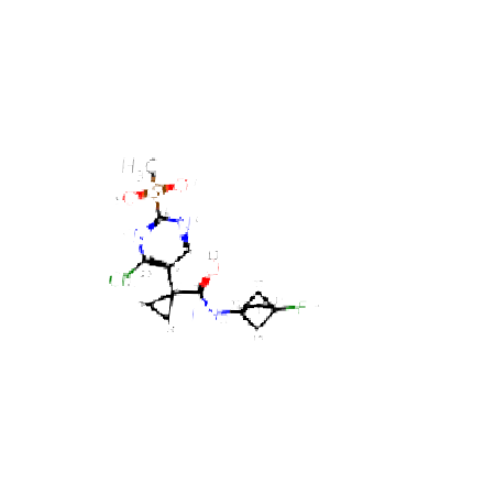 CS(=O)(=O)c1ncc(C2(C(=O)NC34CC(F)(C3)C4)CC2)c(Cl)n1